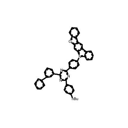 CCCCc1ccc(-c2nc(-c3ccc(-n4c5ccccc5c5cc6c(cc54)oc4ccccc46)cc3)nc(-c3cccc(-c4ccccc4)c3)n2)cc1